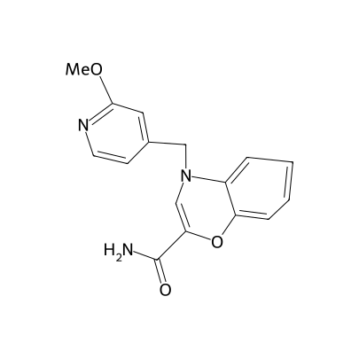 COc1cc(CN2C=C(C(N)=O)Oc3ccccc32)ccn1